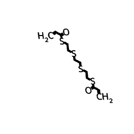 C=CC(=O)SCCSCCSCCSC(=O)C=C